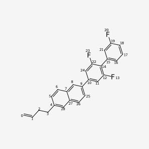 C=CCCc1ccc2cc(-c3cc(F)c(-c4cccc(F)c4)c(F)c3)ccc2c1